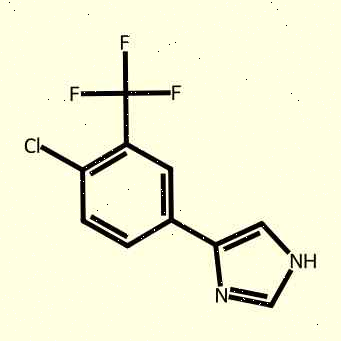 FC(F)(F)c1cc(-c2c[nH]cn2)ccc1Cl